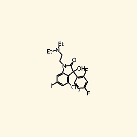 CCN(CC)CCN1C(=O)C(O)(c2ccc(F)cc2F)c2c1cc(I)cc2C(F)(F)F